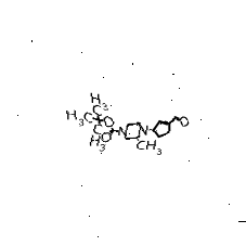 C[C@@H]1CN(C(=O)OC(C)(C)C)CCN1[C@@H]1C=C(C=O)CC1